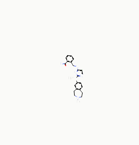 CCN1CCc2ccc([AsH]c3ncc(Cl)c(NCc4ccccc4C(N)=O)n3)cc2CC1